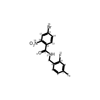 O=C(NCc1ccc(I)cc1F)c1ccc(Br)cc1[N+](=O)[O-]